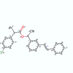 CC(C)C(C(=O)OC(C#N)c1cccc(/C=C/c2ccccc2)c1)c1ccc(Cl)cc1